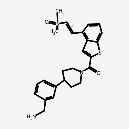 C[SH](C)(=O)/C=C/c1cccc2sc(C(=O)N3CCC(c4cccc(CN)c4)CC3)cc12